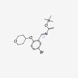 C=C(/N=C/c1cc(Br)ccc1OC1CCOCC1)O[Si](C)(C)C